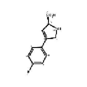 O=C(O)[C@@H]1C=C(c2ccc(F)cc2)CN1